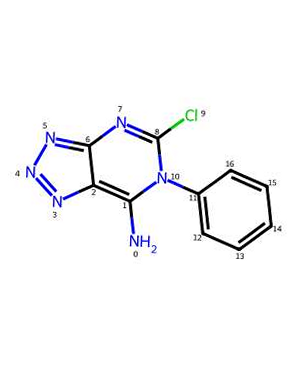 Nc1c2nnnc-2nc(Cl)n1-c1ccccc1